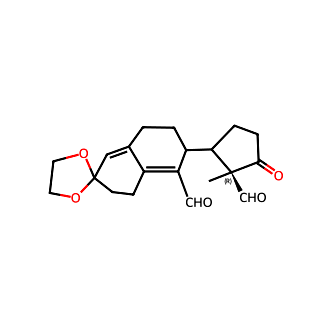 C[C@@]1(C=O)C(=O)CCC1C1CCC2=CC3(CCC2=C1C=O)OCCO3